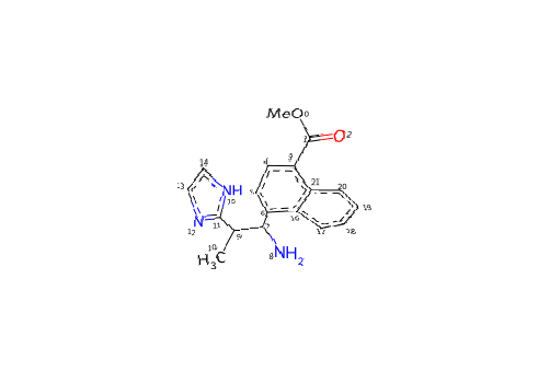 COC(=O)c1ccc(C(N)C(C)c2ncc[nH]2)c2ccccc12